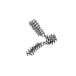 Cl.Cl.Cl.Cl.Cl.Cl.Cl.Cl.Cl.Cl.Cl.Cl.Cl.Cl.Cl.[NaH].[NaH].[NaH].[NaH].[NaH]